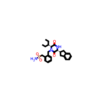 CCC(CC)[C@@H]1C(=O)N[C@H](C2Cc3ccccc3C2)C(=O)N1Cc1ccccc1CS(N)(=O)=O